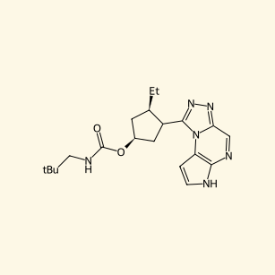 CC[C@@H]1C[C@H](OC(=O)NCC(C)(C)C)CC1c1nnc2cnc3[nH]ccc3n12